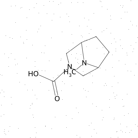 CN1C2CCC1CN(C(=O)O)C2